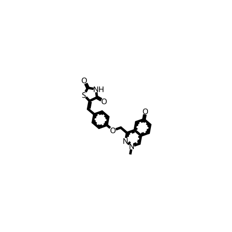 Cn1cc2ccc(=O)cc-2c(COc2ccc(C=C3SC(=O)NC3=O)cc2)n1